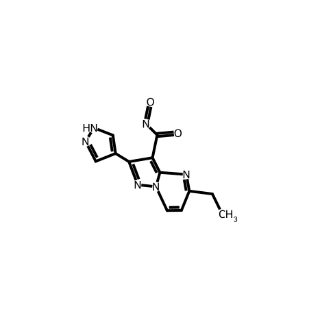 CCc1ccn2nc(-c3cn[nH]c3)c(C(=O)N=O)c2n1